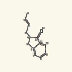 C/C=C/CC1Cc2ccccc2C1=O